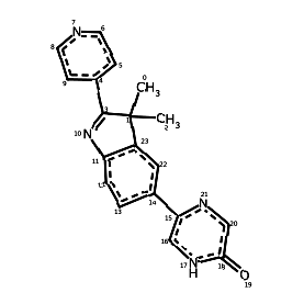 CC1(C)C(c2ccncc2)=Nc2ccc(-c3c[nH]c(=O)cn3)cc21